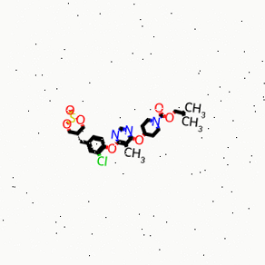 Cc1c(Oc2ccc(C[C@H]3CO[S@](=O)OC3)cc2Cl)ncnc1OC1CCN(C(=O)OCC(C)C)CC1